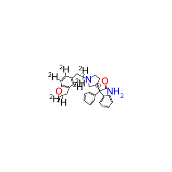 [2H]c1c([2H])c2c(c([2H])c1CC([2H])([2H])N1CC[C@@H](C(C(N)=O)(c3ccccc3)c3ccccc3)C1)CC([2H])([2H])O2